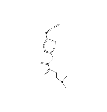 C=C(CCN(C)C)C(=O)Oc1ccc(N=[N+]=[N-])cc1